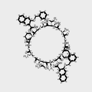 CC(C)[C@H]1C(=O)N(C)C[C@@H](NC(=O)c2nc3ccccc3cc2OCc2ccccc2)C(=O)N2CCCC[C@H]2C(=O)NCC(=O)N(C)CC(=O)N(C)[C@@H](C(C)C)C(=O)N(C)C[C@@H](NC(=O)c2nc3ccccc3cc2OCc2ccccc2)C(=O)N2CCCC[C@H]2C(=O)NCC(=O)N(C)CC(=O)N1C